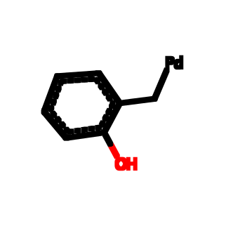 Oc1ccccc1[CH2][Pd]